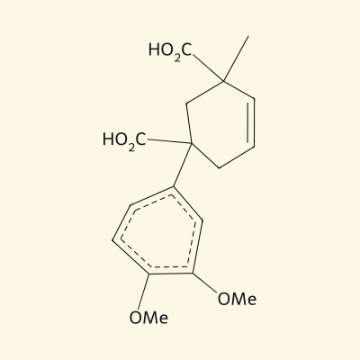 COc1ccc(C2(C(=O)O)CC=CC(C)(C(=O)O)C2)cc1OC